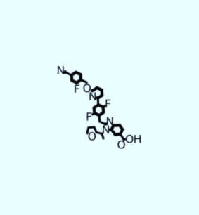 CC(C1CCCO1)n1c(Cc2cc(F)c(-c3cccc(OCc4ccc(C#N)cc4F)n3)cc2F)nc2ccc(C(=O)O)cc21